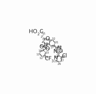 O=C(O)CC[C@H]1CN(S(=O)(=O)c2cccc(C(F)(F)F)c2)c2cc(-c3noc(-c4ncccc4Cl)n3)ccc2O1